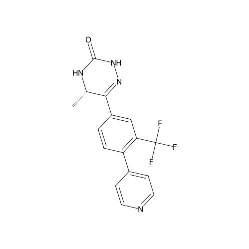 C[C@@H]1NC(=O)NN=C1c1ccc(-c2ccncc2)c(C(F)(F)F)c1